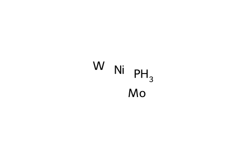 P.[Mo].[Ni].[W]